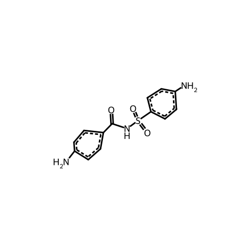 Nc1ccc(C(=O)NS(=O)(=O)c2ccc(N)cc2)cc1